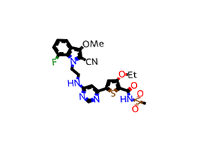 CCOc1cc(-c2cc(NCCn3c(C#N)c(OC)c4cccc(F)c43)ncn2)sc1C(=O)NS(C)(=O)=O